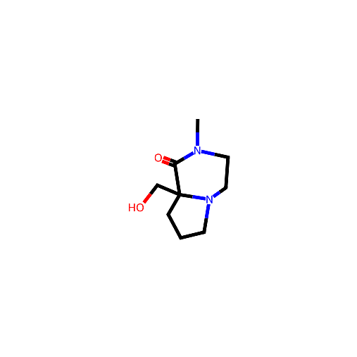 CN1CCN2CCCC2(CO)C1=O